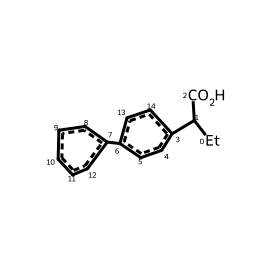 CCC(C(=O)O)c1ccc(-c2ccccc2)cc1